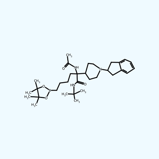 CC(=O)NC(CCCCB1OC(C)(C)C(C)(C)O1)(C(=O)NC(C)(C)C)C1CCN(C2Cc3ccccc3C2)CC1